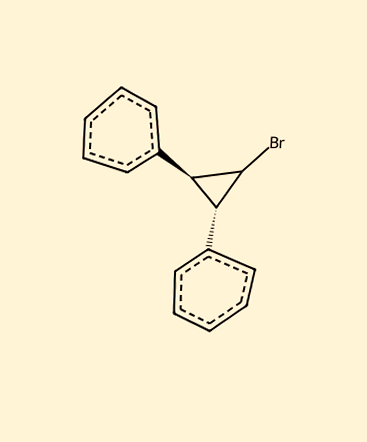 BrC1[C@H](c2ccccc2)[C@H]1c1ccccc1